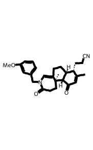 COc1cccc(CN2C=C3CC[C@H]4[C@H](CCC#N)C(C)=CC(=O)[C@@H]4[C@@]3(C)CCC2=O)c1